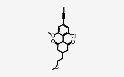 CC#Cc1cc(Cl)c(C2C(=O)CC(CCSC)CC2=O)c(OC)c1